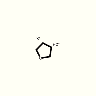 C1CCOC1.[K+].[OH-]